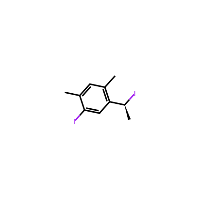 Cc1cc(C)c([C@H](C)I)cc1I